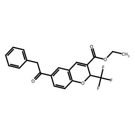 CCOC(=O)C1=Cc2cc(C(=O)Cc3ccccc3)ccc2OC1C(F)(F)F